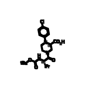 CC(C)[C@H](NC(=O)OC(C)(C)C)C(=O)N1CCN(c2ccc(Cl)cc2)[C@@H](C(=O)O)C1